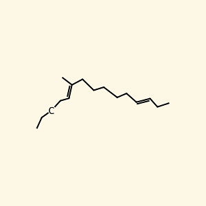 CCC=CCCCCCC(C)=CCCCC